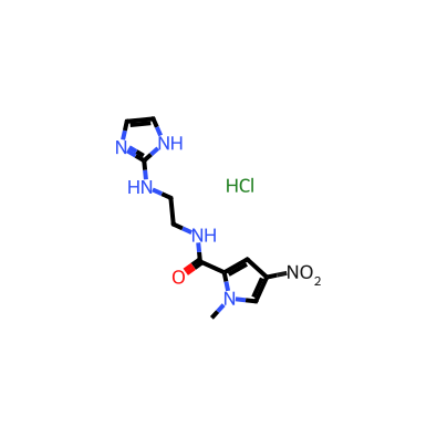 Cl.Cn1cc([N+](=O)[O-])cc1C(=O)NCCNc1ncc[nH]1